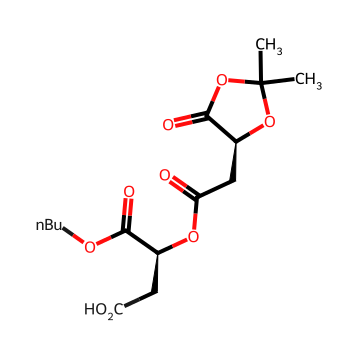 CCCCOC(=O)[C@H](CC(=O)O)OC(=O)C[C@@H]1OC(C)(C)OC1=O